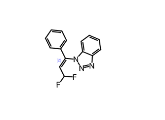 FC(F)/C=C(/c1ccccc1)n1nnc2ccccc21